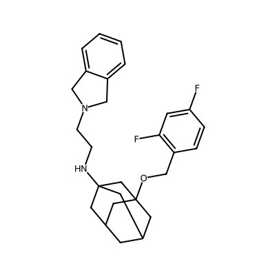 Fc1ccc(COC23CC4CC(CC(NCCN5Cc6ccccc6C5)(C4)C2)C3)c(F)c1